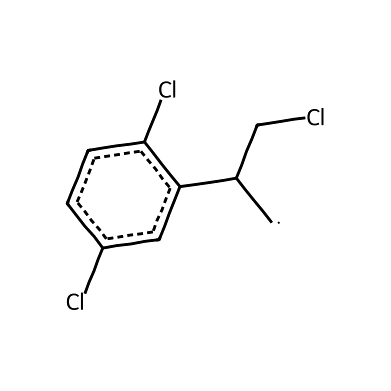 [CH2]C(CCl)c1cc(Cl)ccc1Cl